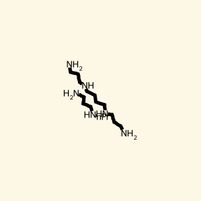 CCCNCCCN.NCCCNCCCCNCCCN